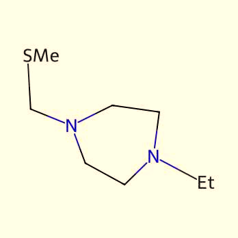 CCN1CCN(CSC)CC1